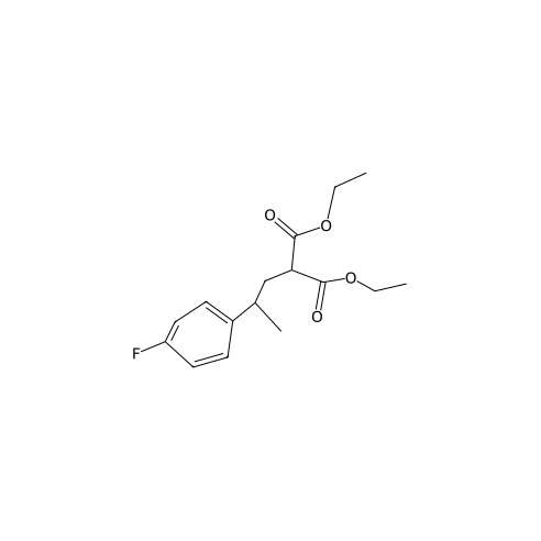 CCOC(=O)C(CC(C)c1ccc(F)cc1)C(=O)OCC